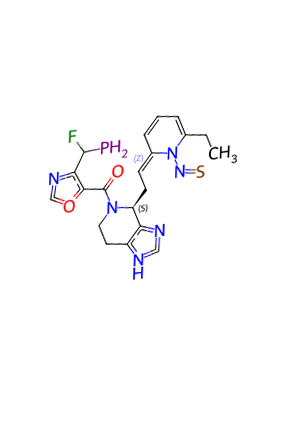 CCC1=CC=C/C(=C/C[C@H]2c3nc[nH]c3CCN2C(=O)c2ocnc2C(F)P)N1N=S